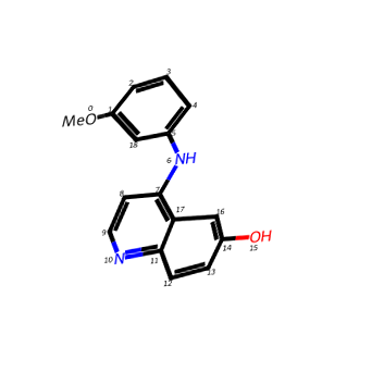 COc1cccc(Nc2ccnc3ccc(O)cc23)c1